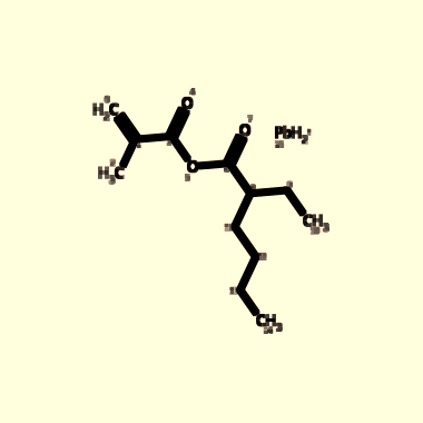 C=C(C)C(=O)OC(=O)C(CC)CCCC.[PbH2]